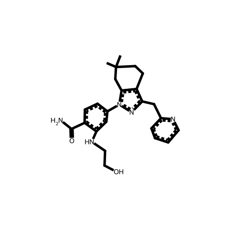 CC1(C)CCc2c(Cc3ccccn3)nn(-c3ccc(C(N)=O)c(NCCO)c3)c2C1